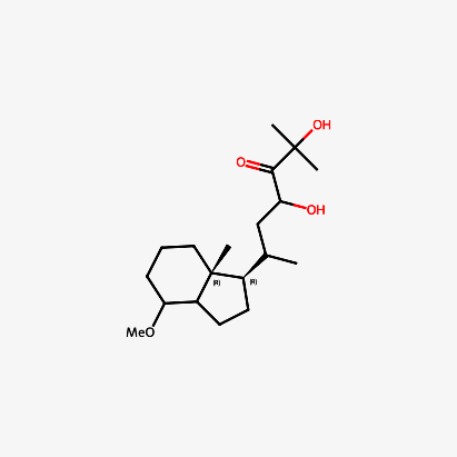 COC1CCC[C@@]2(C)C1CC[C@@H]2C(C)CC(O)C(=O)C(C)(C)O